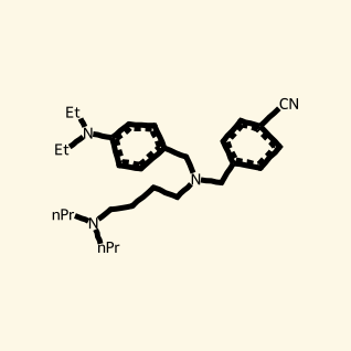 CCCN(CCC)CCCCN(Cc1ccc(C#N)cc1)Cc1ccc(N(CC)CC)cc1